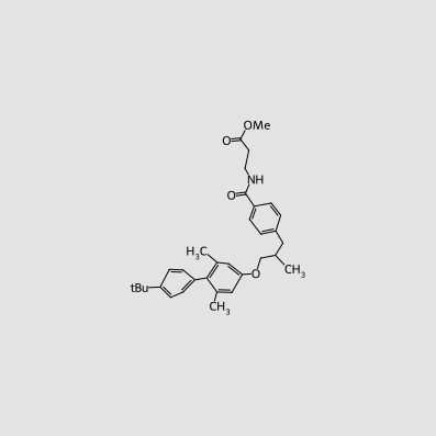 COC(=O)CCNC(=O)c1ccc(CC(C)COc2cc(C)c(-c3ccc(C(C)(C)C)cc3)c(C)c2)cc1